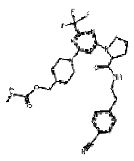 CNC(=O)OCC1CCN(c2cc(N3CCCC3C(=O)NCCc3ccc(C#N)cc3)nc(C(F)(F)F)n2)CC1